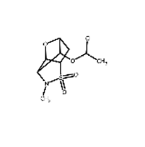 CC(Cl)OC1C2CC3C(O2)C1N(C)S3(=O)=O